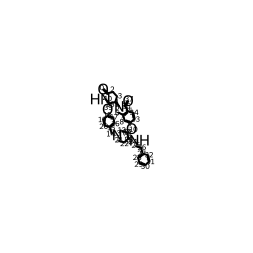 O=C1CCC(N2Cc3cc(O[C@H]4CN(Cc5ccccc5)CC[C@@H]4NCCc4ccccc4)ccc3C2=O)C(=O)N1